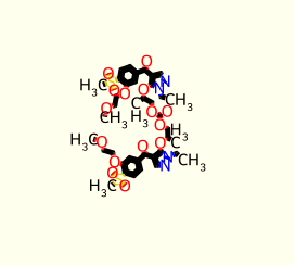 CCn1ncc(C(=O)c2ccc(S(C)(=O)=O)c(OCCOC)c2)c1OC(C)COC(=O)OCC(C)Oc1c(C(=O)c2ccc(S(C)(=O)=O)c(OCCOC)c2)cnn1CC